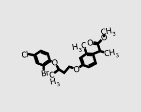 COC(=O)C(C)c1ccc(OCCC(C)Oc2ccc(Cl)cc2Br)cc1C